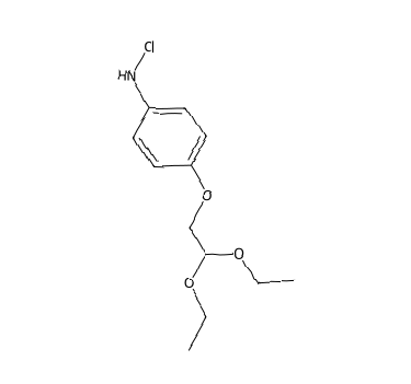 CCOC(COc1ccc(NCl)cc1)OCC